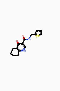 O=C(NCc1cccs1)c1c[nH]c2c(c1=O)CCCC2